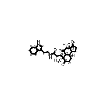 C[C@]1(CCC(=O)NCCc2c[nH]c3ccccc23)C(=O)CC[C@@H]2[C@@H]1C(=O)C[C@]1(C)C(=O)CC[C@@H]21